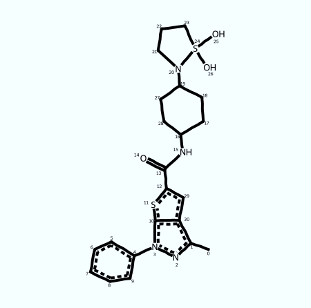 Cc1nn(-c2ccccc2)c2sc(C(=O)NC3CCC(N4CCCS4(O)O)CC3)cc12